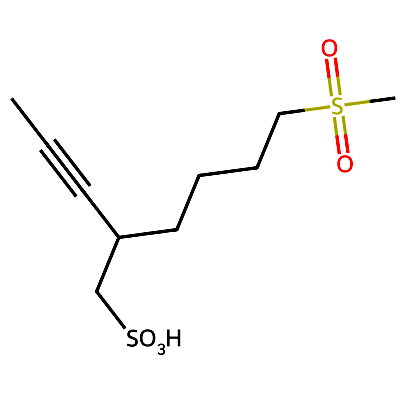 CC#CC(CCCCS(C)(=O)=O)CS(=O)(=O)O